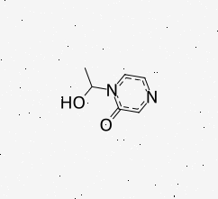 CC(O)n1ccncc1=O